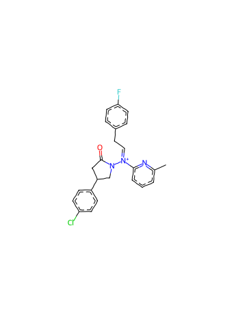 Cc1cccc([N+](=CCc2ccc(F)cc2)N2CC(c3ccc(Cl)cc3)CC2=O)n1